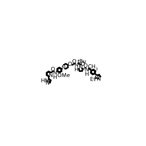 CCn1nccc1-c1ccc([C@H](C)NC(=O)[C@@H]2CCCN2C(=O)[C@@H](NC(=O)COC2CCN(c3ccc(NC(=O)c4cccc(-c5ccn[nH]5)n4)c(OC)c3)CC2)C(C)(C)C)cc1